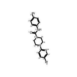 CC(C)c1ccc(NC(=O)N2CCN(c3ccc(Br)cn3)CC2)cc1